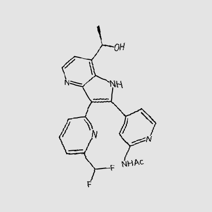 CC(=O)Nc1cc(-c2[nH]c3c([C@@H](C)O)ccnc3c2-c2cccc(C(F)F)n2)ccn1